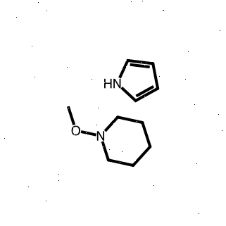 CON1CCCCC1.c1cc[nH]c1